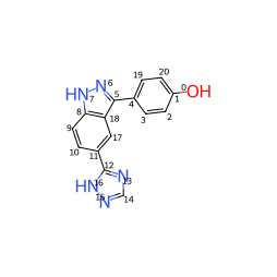 Oc1ccc(-c2n[nH]c3ccc(-c4ncn[nH]4)cc23)cc1